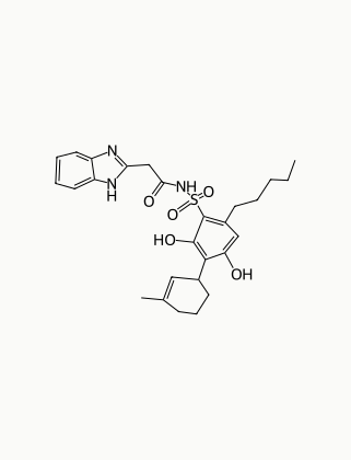 CCCCCc1cc(O)c(C2C=C(C)CCC2)c(O)c1S(=O)(=O)NC(=O)Cc1nc2ccccc2[nH]1